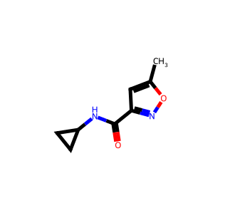 Cc1cc(C(=O)NC2CC2)no1